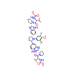 COC(=O)N[C@H](C(=O)N1CCC[C@H]1c1nc2cc([C@H]3CC[C@H](c4ccc5[nH]c([C@@H]6CCCN6C(=O)[C@@H](NC(=O)OC)C(C)C)nc5c4)N3c3cc(F)c(OC)c(F)c3)ccc2[nH]1)C(C)C